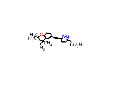 CC1(C)CC(C)(C)c2cc(C#Cc3ccc(CC(=O)O)nn3)ccc2O1